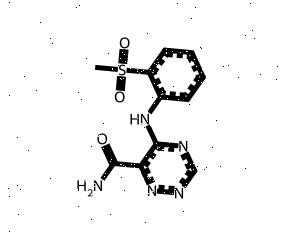 CS(=O)(=O)c1ccccc1Nc1ncnnc1C(N)=O